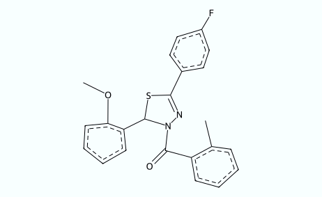 COc1ccccc1C1SC(c2ccc(F)cc2)=NN1C(=O)c1ccccc1C